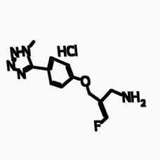 Cl.Cn1nnnc1-c1ccc(OC/C(=C\F)CN)cc1